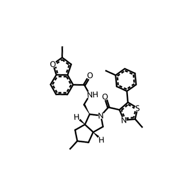 Cc1cccc(-c2sc(C)nc2C(=O)N2C[C@@H]3CC(C)C[C@@H]3[C@H]2CNC(=O)c2cccc3oc(C)cc23)c1